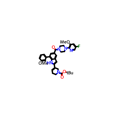 COc1ccccc1-c1cc(C(=O)N2CCN(c3ncc(F)cc3OC)CC2)cc2cc(C3=CCCN(C(=O)OC(C)(C)C)C3)[nH]c12